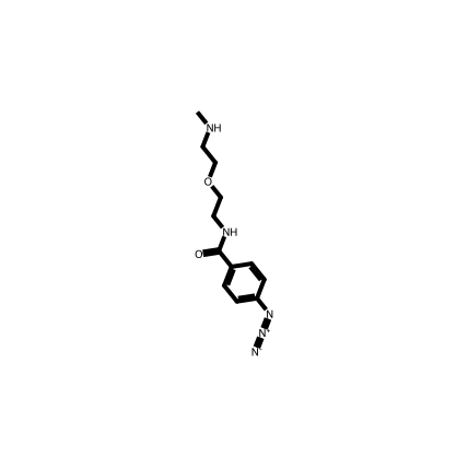 CNCCOCCNC(=O)c1ccc(N=[N+]=[N-])cc1